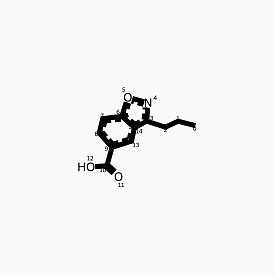 CCCc1noc2ccc(C(=O)O)cc12